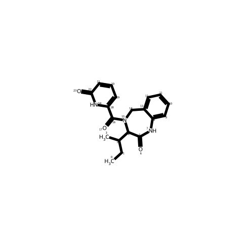 CCC(C)C1C(=O)Nc2ccccc2CN1C(=O)c1cccc(=O)[nH]1